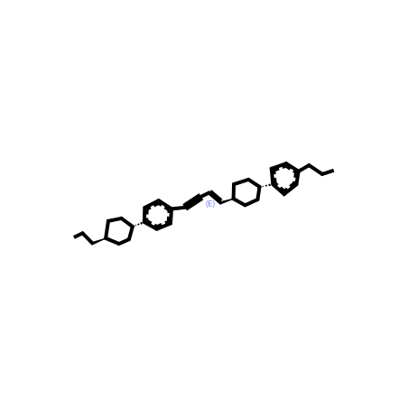 CCCc1ccc([C@H]2CC[C@H](/C=C/C#Cc3ccc([C@H]4CC[C@H](CCC)CC4)cc3)CC2)cc1